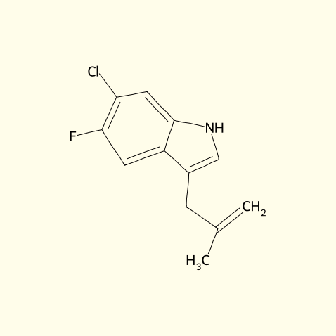 C=C(C)Cc1c[nH]c2cc(Cl)c(F)cc12